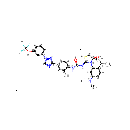 Cc1cc(-c2ncn(-c3cccc(OC(F)(F)F)c3)n2)ccc1NC(=O)/N=C1\SCC(=O)N1c1cc(N(C)C)ccc1C(C)C